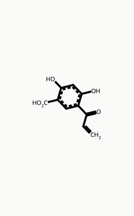 C=CC(=O)c1cc(C(=O)O)c(O)cc1O